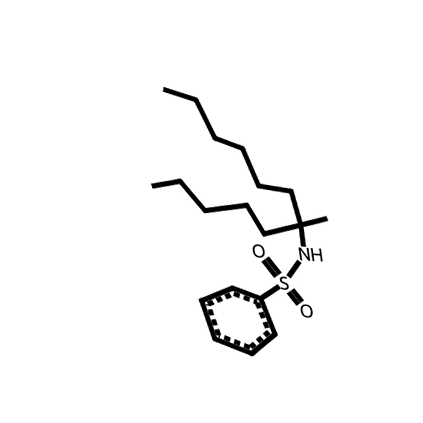 CCCCCCC(C)(CCCCC)NS(=O)(=O)c1ccccc1